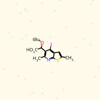 Cc1cc2c(I)c(C(OC(C)(C)C)C(=O)O)c(C)nc2s1